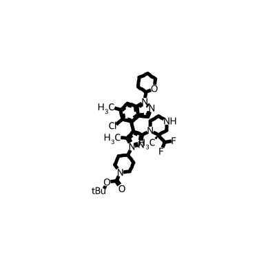 Cc1cc2c(cnn2C2CCCCO2)c(-c2c(N3CCNC[C@]3(C)C(F)F)nn(C3CCN(C(=O)OC(C)(C)C)CC3)c2C)c1Cl